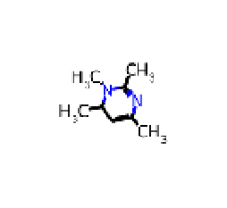 CC1=CC(C)N(C)C(C)=N1